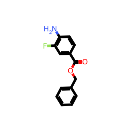 Nc1ccc(C(=O)OCc2ccccc2)cc1F